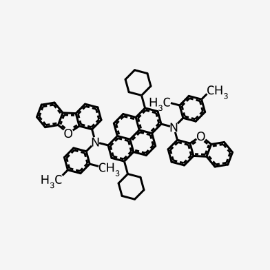 Cc1ccc(N(c2cc(C3CCCCC3)c3ccc4c(N(c5ccc(C)cc5C)c5cccc6c5oc5ccccc56)cc(C5CCCCC5)c5ccc2c3c54)c2cccc3c2oc2ccccc23)c(C)c1